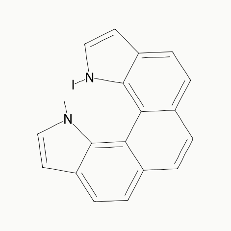 Cn1ccc2ccc3ccc4ccc5ccn(I)c5c4c3c21